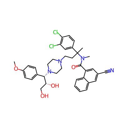 COc1ccc([C@@H]([C@H](O)CO)N2CCN(CCC(C)(c3ccc(Cl)c(Cl)c3)N(C)C(=O)c3cc(C#N)cc4ccccc34)CC2)cc1